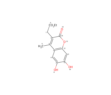 CCOC(=O)Cc1c(C)c2cc(O)c(O)cc2oc1=O